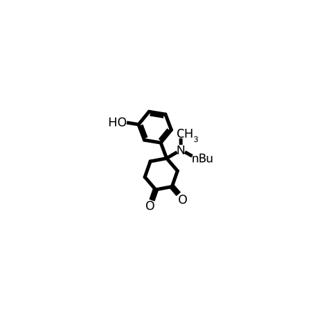 CCCCN(C)C1(c2cccc(O)c2)CCC(=O)C(=O)C1